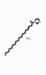 CCCCCCCCCCCCCCC=CCC(C)N1C=NCC1.N